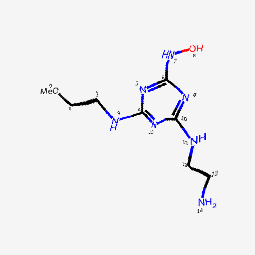 COCCNc1nc(NO)nc(NCCN)n1